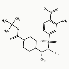 Cc1cc(S(=O)(=O)N(C)[C@H](C)C2CCN(C(=O)OC(C)(C)C)CC2)ccc1[N+](=O)[O-]